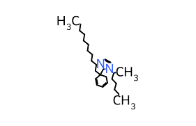 CCCCCCCCCCCC1(c2nccn2C(C)CCCCC)C=CC=CC1